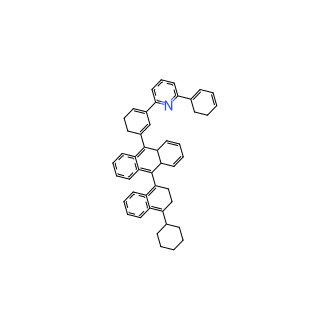 C1=CCCC(c2cccc(C3=CCCC(C4=c5ccccc5=C(C5=c6ccccc6=C(C6CCCCC6)CC5)C5C=CC=CC45)=C3)n2)=C1